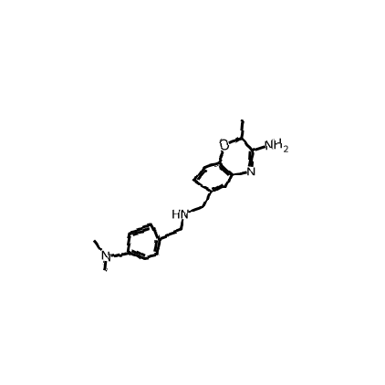 CC1Oc2ccc(CNCc3ccc(N(C)C)cc3)cc2N=C1N